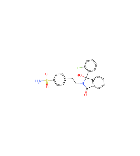 NS(=O)(=O)c1ccc(CCN2C(=O)c3ccccc3C2(O)c2ccccc2F)cc1